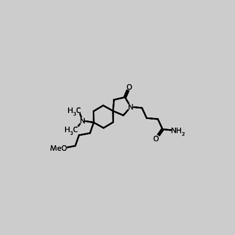 COCCCC1(N(C)C)CCC2(CC1)CC(=O)N(CCCC(N)=O)C2